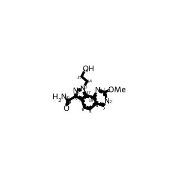 COc1ncc2ccc3c(C(N)=O)nn(CCO)c3c2n1